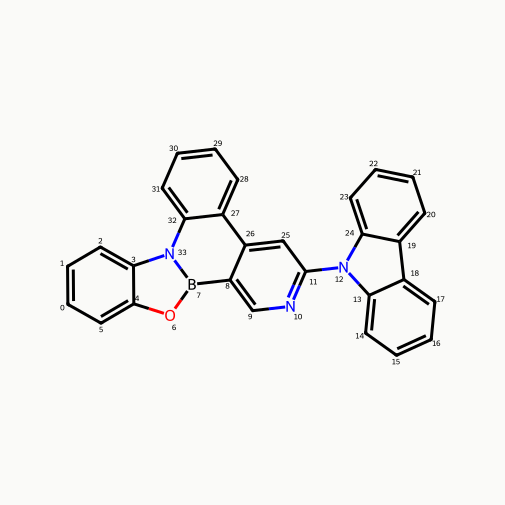 c1ccc2c(c1)OB1c3cnc(-n4c5ccccc5c5ccccc54)cc3-c3ccccc3N12